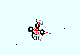 C=C(O)/C=C\C(=C/C)C(c1ccc(O)cc1)P1(=O)Oc2ccccc2C(/C=C\C)=C1C